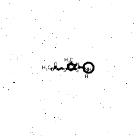 COC(=O)CCSc1cc(C)c2nc(C34CCCCCC[C@@H](C3)N4)sc2c1